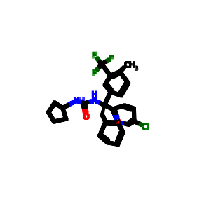 Cc1ccc([C@@](Cc2ccccc2)(NC(=O)NC2CCCC2)c2ccc(Cl)cn2)cc1C(F)(F)F